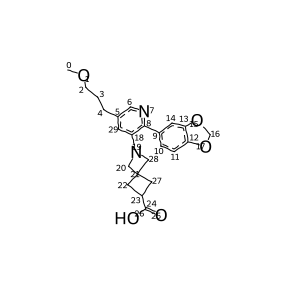 COCCCc1cnc(-c2ccc3c(c2)OCO3)c(N2CC3(CC(C(=O)O)C3)C2)c1